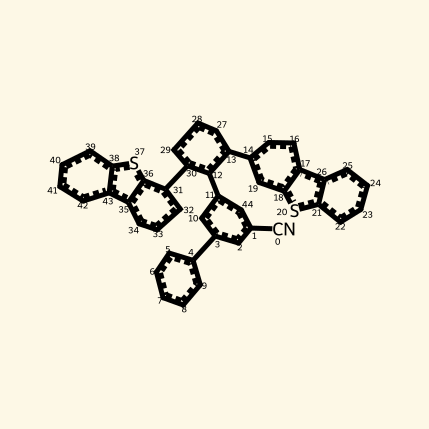 N#Cc1cc(-c2ccccc2)cc(-c2c(-c3ccc4c(c3)sc3ccccc34)cccc2-c2cccc3c2sc2ccccc23)c1